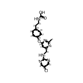 Cc1nc(CNc2ncc(Cl)cn2)cc(Oc2ccc(CCNC(=O)O)cc2)n1